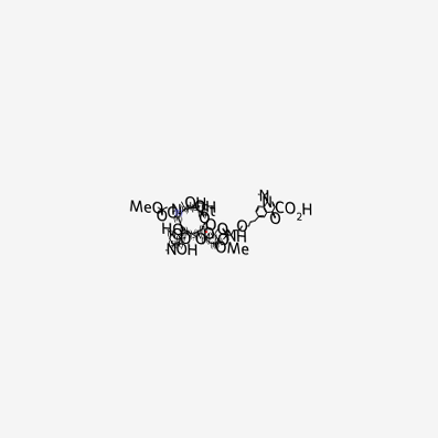 CC[C@H]1OC(=O)[C@H](C)[C@@H](O[C@H]2C[C@@](C)(OC)[C@@H](OC(=O)NCCOCCCc3ccc4c(c3)c(=O)c(C(=O)O)cn4N(C)C)[C@H](C)O2)[C@H](C)[C@@H](O[C@@H]2O[C@H](C)C[C@H](N(C)C)[C@H]2O)[C@](C)(O)C[C@@H](C)/C(=N\OCC(=O)OC)[C@@H](C)[C@@H](O)[C@]1(C)O